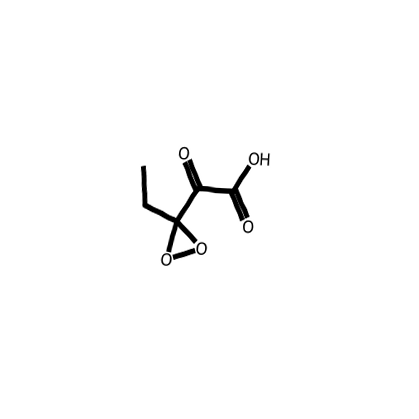 CCC1(C(=O)C(=O)O)OO1